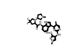 COc1nn(C)cc1Nc1ncc(C)c(-c2c[nH]c3c(NC(=O)C4CC(F)(F)CN4[C@H]4CCN(C)C4)cccc23)n1